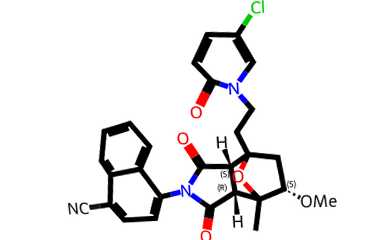 CO[C@H]1CC2(CCn3cc(Cl)ccc3=O)OC1(C)[C@@H]1C(=O)N(c3ccc(C#N)c4ccccc34)C(=O)[C@@H]12